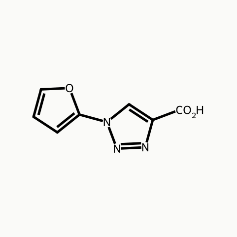 O=C(O)c1cn(-c2ccco2)nn1